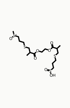 CC(CSCCCS(=O)O)C(=O)OCCOC(=O)C(C)CSCCC[S+](C)[O-]